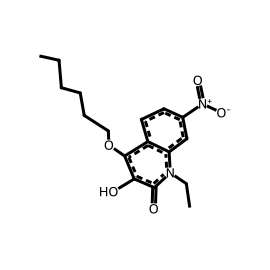 CCCCCCOc1c(O)c(=O)n(CC)c2cc([N+](=O)[O-])ccc12